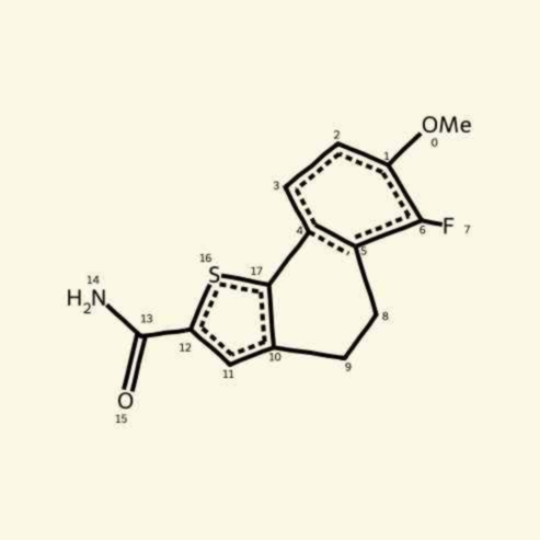 COc1ccc2c(c1F)CCc1cc(C(N)=O)sc1-2